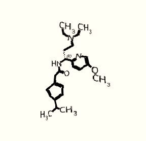 CCN(CC)CC[C@@H](NC(=O)Cc1ccc(C(C)C)cc1)c1ccc(OC)cn1